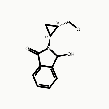 O=C1c2ccccc2C(O)N1[C@H]1C[C@@H]1CO